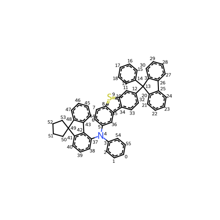 c1ccc(N(c2ccc3sc4cc(C5(c6ccccc6)c6ccccc6-c6ccccc65)ccc4c3c2)c2cccc3c2-c2ccccc2C32CCCC2)cc1